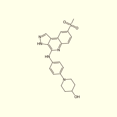 CS(=O)(=O)c1ccc2nc(Nc3ccc(N4CCC(O)CC4)cc3)c3[nH]ncc3c2c1